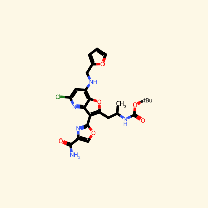 CC(Cc1oc2c(NCc3ccco3)cc(Cl)nc2c1-c1nc(C(N)=O)co1)NC(=O)OC(C)(C)C